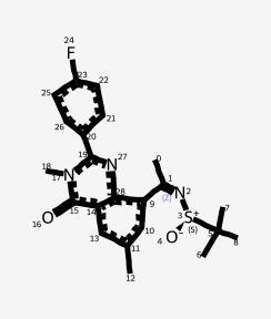 C/C(=N/[S@+]([O-])C(C)(C)C)c1cc(C)cc2c(=O)n(C)c(-c3ccc(F)cc3)nc12